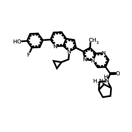 Cc1c(-c2cc3ccc(-c4ccc(O)c(F)c4)nc3n2CC2CC2)nn2cc(C(=O)N3CC4CCC3[C@@H]4N)cnc12